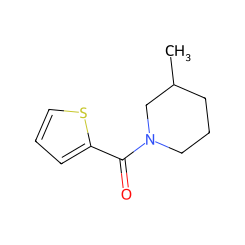 CC1CCCN(C(=O)c2cccs2)C1